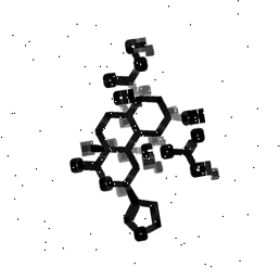 COC(=O)[C@@H]1C[C@H](O)[C@H](OC(C)=O)C2[C@@]1(C)CC[C@H]1C(=O)O[C@H](c3ccoc3)C[C@]21C